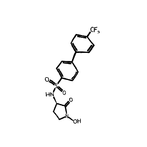 O=C1[C@H](NS(=O)(=O)c2ccc(-c3ccc(C(F)(F)F)cc3)cc2)CCN1O